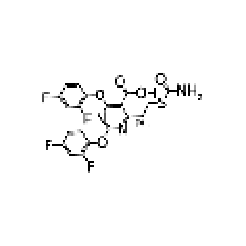 C[C@@H](CSC(N)=O)c1nc(Oc2ccc(F)cc2F)nc(Oc2ccc(F)cc2F)c1C(=O)O